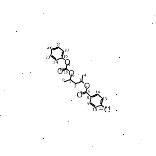 CC(CC(C)OC(=O)c1ccc(Cl)cc1)OC(=O)Oc1ccccc1